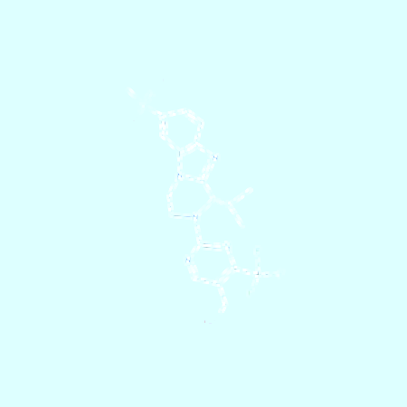 CC(C)[C@H]1c2nc3ccc(S(C)(=O)=O)cc3n2CCN1c1ncc(CO)c(C(F)(F)F)n1